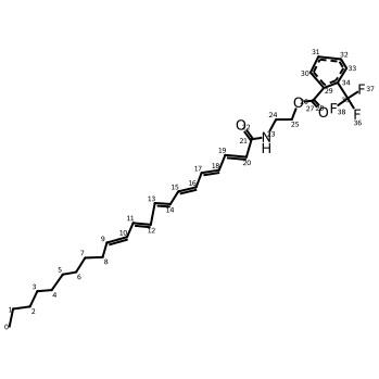 CCCCCCCCCC=CC=CC=CC=CC=CC=CC(=O)NCCOC(=O)c1ccccc1C(F)(F)F